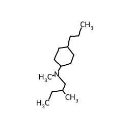 CCCC1CCC(N(C)CC(C)CC)CC1